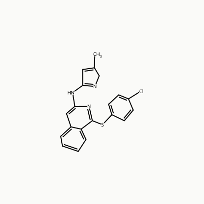 CC1=CC(Nc2cc3ccccc3c(Sc3ccc(Cl)cc3)n2)=NC1